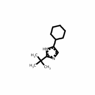 CC(C)(C)c1ncc(C2CCCCC2)[nH]1